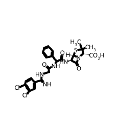 CC1(C)S[C@@H]2[C@H](NC(=O)C(NC(=O)CNC(=N)c3ccc(Cl)c(Cl)c3)c3ccccc3)C(=O)N2[C@H]1C(=O)O